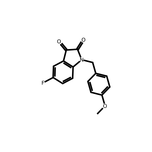 COc1ccc(CN2C(=O)C(=O)c3cc(F)ccc32)cc1